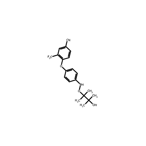 CC(C)(O)C(C)(C)OBc1ccc(Oc2ccc(C#N)cc2C(F)(F)F)cc1